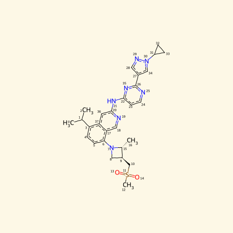 CC(C)c1ccc(N2C[C@H](CS(C)(=O)=O)[C@H]2C)c2cnc(Nc3ccnc(-c4cnn(C5CC5)c4)n3)cc12